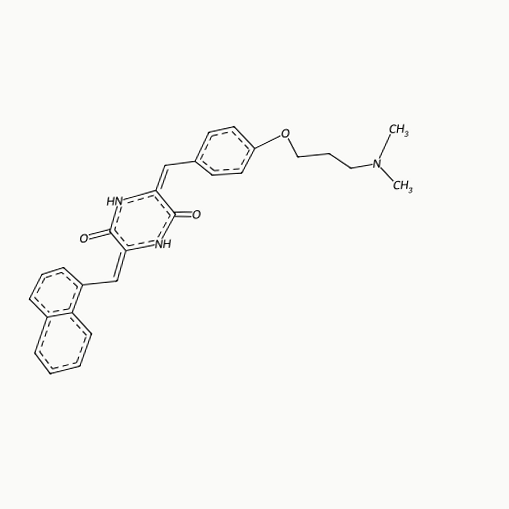 CN(C)CCCOc1ccc(C=c2[nH]c(=O)c(=Cc3cccc4ccccc34)[nH]c2=O)cc1